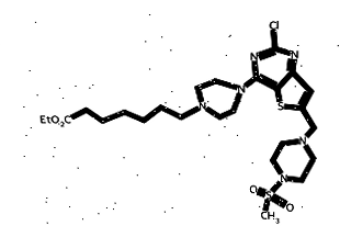 CCOC(=O)CCCCCCN1CCN(c2nc(Cl)nc3cc(CN4CCN(S(C)(=O)=O)CC4)sc23)CC1